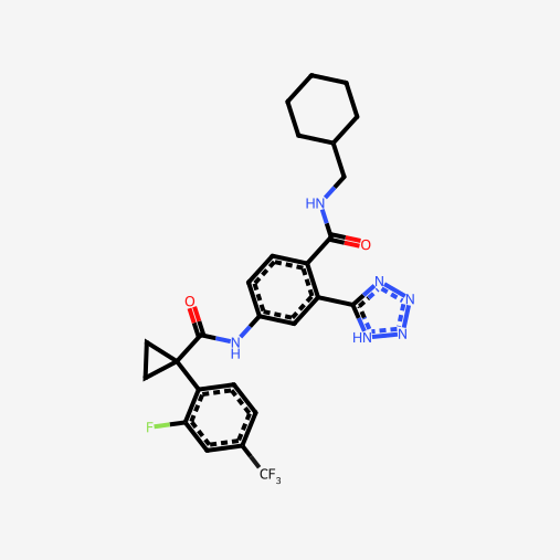 O=C(NCC1CCCCC1)c1ccc(NC(=O)C2(c3ccc(C(F)(F)F)cc3F)CC2)cc1-c1nnn[nH]1